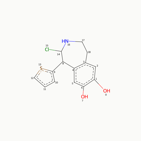 Oc1cc2c(cc1O)C(c1cccs1)C(Cl)NCC2